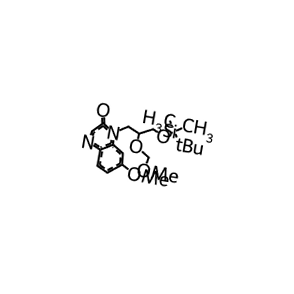 COCOC(CO[Si](C)(C)C(C)(C)C)Cn1c(=O)cnc2ccc(OC)cc21